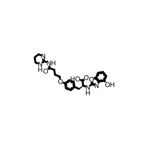 O=C(CCCOc1ccc(C[C@H](Nc2nc3c(O)cccc3o2)C(=O)O)cc1)NC1=NCCCN1